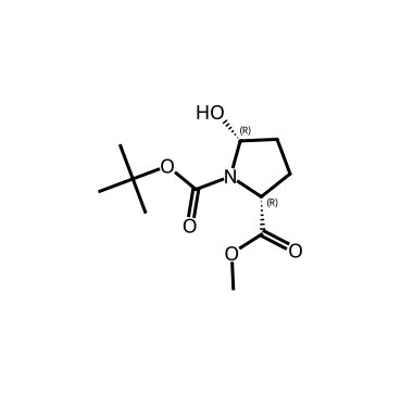 COC(=O)[C@H]1CC[C@@H](O)N1C(=O)OC(C)(C)C